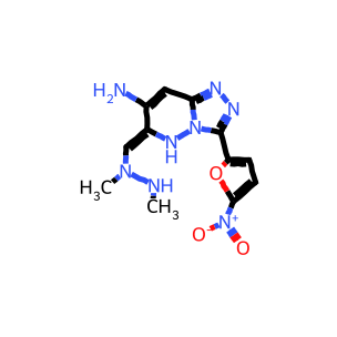 CNN(C)C=C1Nn2c(nnc2-c2ccc([N+](=O)[O-])o2)C=C1N